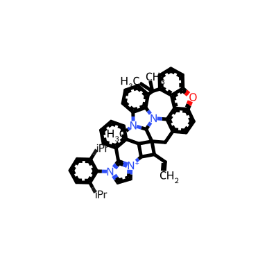 C=CC1C2C(c3ccccc3-c3n(-c4c(C(C)C)cccc4C(C)C)cc[n+]32)C12Cc1ccc3oc4cccc5c4c3c1N1c3c(cccc3C5(C)C)N(C)C12